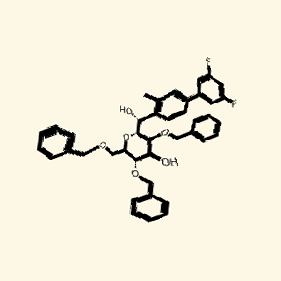 Cc1cc(-c2cc(F)cc(F)c2)ccc1[C@@H](O)[C@H]1OC(COCc2ccccc2)[C@@H](OCc2ccccc2)C(O)C1OCc1ccccc1